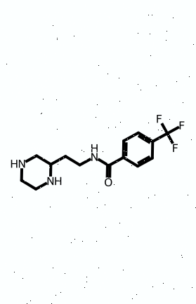 O=C(NCCC1CNCCN1)c1ccc(C(F)(F)F)cc1